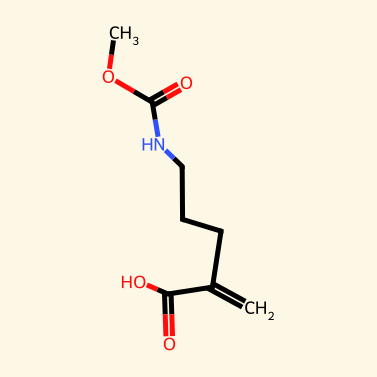 C=C(CCCNC(=O)OC)C(=O)O